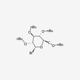 CCCCOC[C@H]1O[C@@H](Br)[C@H](OCCCC)[C@@H](OCCCC)[C@@H]1OCCCC